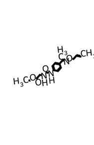 C/C=C/CO/N=C(\C)c1ccc(NC(=O)NCC(=O)OCC)cc1